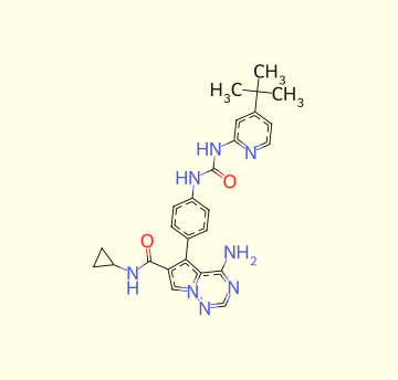 CC(C)(C)c1ccnc(NC(=O)Nc2ccc(-c3c(C(=O)NC4CC4)cn4ncnc(N)c34)cc2)c1